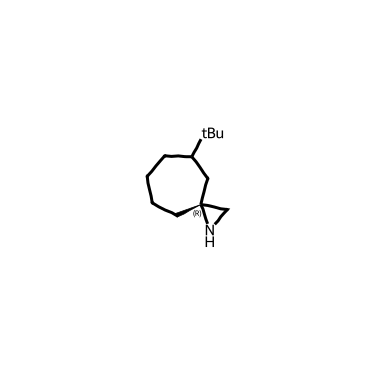 CC(C)(C)C1CCCC[C@]2(CN2)C1